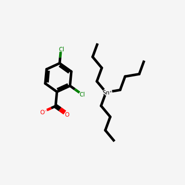 CCC[CH2][Sn+]([CH2]CCC)[CH2]CCC.O=C([O-])c1ccc(Cl)cc1Cl